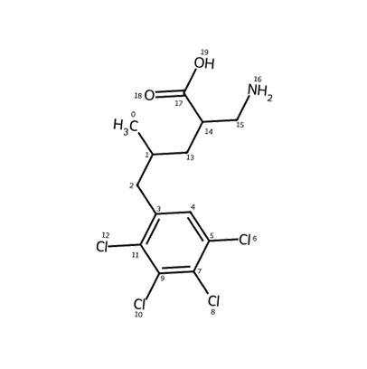 CC(Cc1cc(Cl)c(Cl)c(Cl)c1Cl)CC(CN)C(=O)O